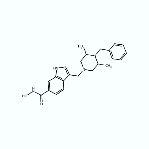 CC1CN(Cc2c[nH]c3cc(C(=O)NO)ccc23)CC(C)N1Cc1ccccc1